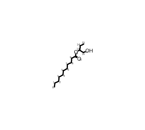 CCCCCCCCCCC(=O)OC(CC)CO